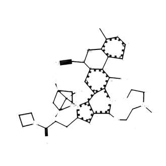 CC(C#N)c1cc2c(nc(O[C@@H](C)[C@@H]3CCCN3C)c3cc(CCC(=O)N4CCC4)n([C@H]4[C@H]5CN[C@@H]4C5)c32)c(F)c1-c1cccc(Cl)c1Cl